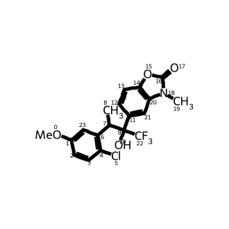 COc1ccc(Cl)c(C(C)C(O)(c2ccc3oc(=O)n(C)c3c2)C(F)(F)F)c1